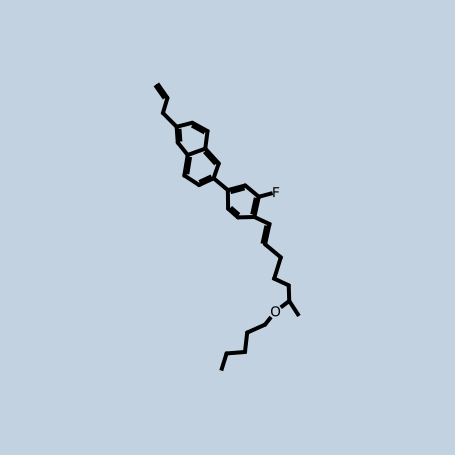 C=CCc1ccc2cc(-c3ccc(C=CCCCC(C)OCCCCC)c(F)c3)ccc2c1